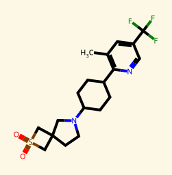 Cc1cc(C(F)(F)F)cnc1C1CCC(N2CCC3(C2)CS(=O)(=O)C3)CC1